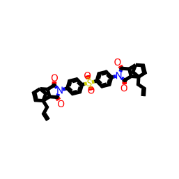 C=CCC12C=CC(C1)C1C(=O)N(c3ccc(S(=O)(=O)c4ccc(N5C(=O)C6C7C=CC(CC=C)(C7)C6C5=O)cc4)cc3)C(=O)C12